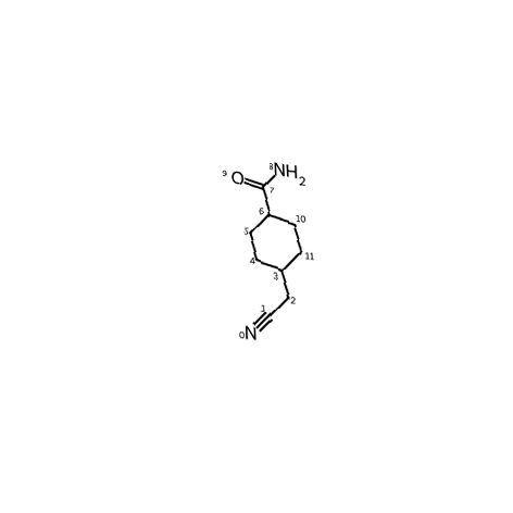 N#CCC1CCC(C(N)=O)CC1